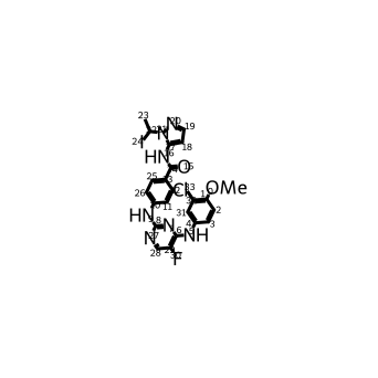 COc1ccc(Nc2nc(Nc3ccc(C(=O)Nc4ccnn4C(C)I)cc3)ncc2F)cc1Cl